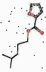 CC(C)CCCOC(=O)c1ccco1